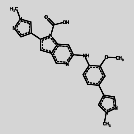 COc1cc(-c2cnn(C)c2)ccc1Nc1cc2c(cn1)cc(-c1cnn(C)c1)n2C(=O)O